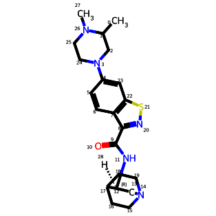 CC1CN(c2ccc3c(C(=O)N[C@H]4CN5CCC4CC5)nsc3c2)CCN1C